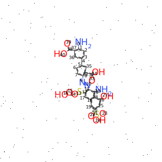 Nc1ccc(-c2ccc(N=Nc3c(SOOO)cc4cc(S(=O)(=O)O)cc(O)c4c3N)c(C(=O)O)c2)cc1C(=O)O